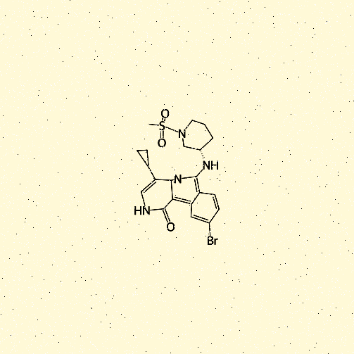 CS(=O)(=O)N1CCC[C@H](Nc2nc3c(C4CC4)c[nH]c(=O)c3c3cc(Br)ccc23)C1